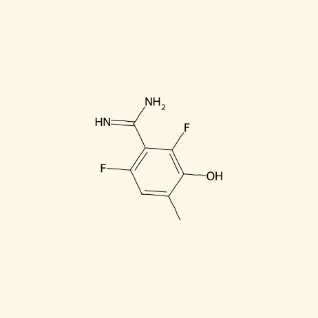 Cc1cc(F)c(C(=N)N)c(F)c1O